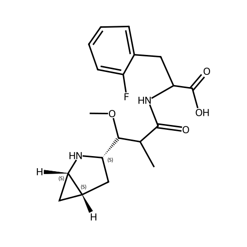 COC(C(C)C(=O)NC(Cc1ccccc1F)C(=O)O)[C@@H]1C[C@@H]2C[C@@H]2N1